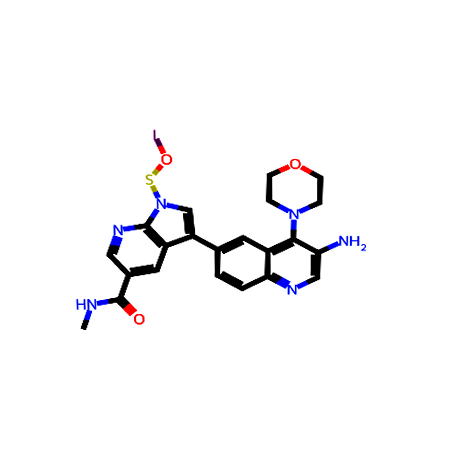 CNC(=O)c1cnc2c(c1)c(-c1ccc3ncc(N)c(N4CCOCC4)c3c1)cn2SOI